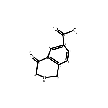 O=C(O)c1ccc2c(c1)C(=O)COC2